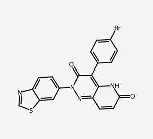 O=c1ccc2nn(-c3ccc4ncsc4c3)c(=O)c(-c3ccc(Br)cc3)c2[nH]1